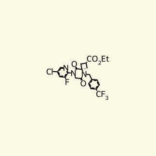 CCOC(=O)[C@H]1C[C@@]2(C1)C(=O)N(c1ncc(Cl)cc1F)CC(=O)N2Cc1ccc(C(F)(F)F)cc1